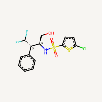 O=S(=O)(N[C@H](CO)[C@H](c1ccccc1)C(F)F)c1ccc(Cl)s1